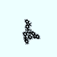 CC1(C)c2ccccc2-c2ccc(-c3nc(-c4cccc(-c5nc6ccccc6n5-c5ccccc5)c4)nc(-c4ccc5c(c4)C(C)(C)c4ccccc4-5)n3)cc21